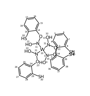 O[N](Oc1ccccc1S)[W]([N](O)Oc1ccccc1S)([N](O)Oc1ccccc1S)[N](O)Oc1ccccc1S